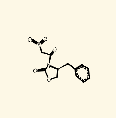 O=C(CP(=O)=O)N1C(=O)OC[C@@H]1Cc1ccccc1